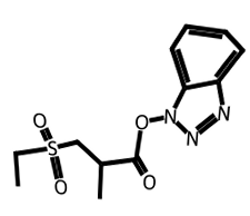 CCS(=O)(=O)CC(C)C(=O)On1nnc2ccccc21